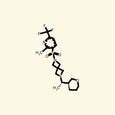 Cc1nc(C(F)(F)F)ccc1S(=O)(=O)N1CC2(CN([C@@H](C)[C@@H]3CCCOC3)C2)C1